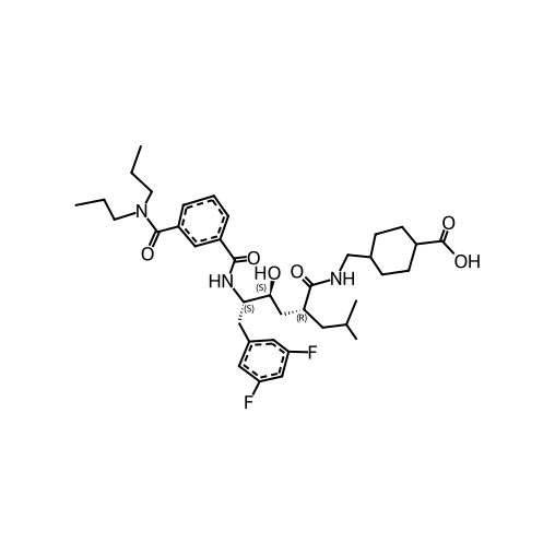 CCCN(CCC)C(=O)c1cccc(C(=O)N[C@@H](Cc2cc(F)cc(F)c2)[C@@H](O)C[C@@H](CC(C)C)C(=O)NCC2CCC(C(=O)O)CC2)c1